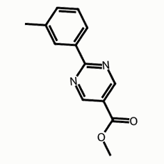 COC(=O)c1cnc(-c2cccc(C)c2)nc1